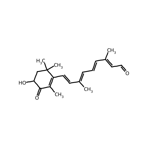 CC(C=CC=C(C)C=CC1=C(C)C(=O)C(O)CC1(C)C)=CC=O